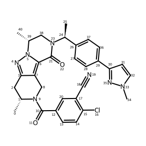 C[C@@H]1Cc2nn3c(c2CN1C(=O)c1ccc(Cl)c(C#N)c1)C(=O)N([C@@H](C)c1ccc(-c2ccn(C)n2)cc1)C[C@H]3C